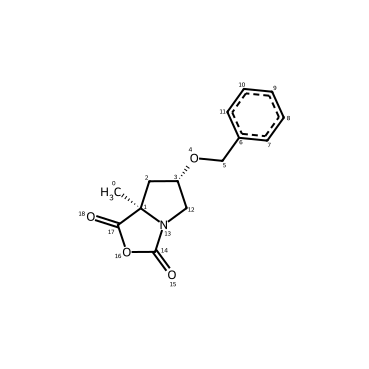 C[C@]12C[C@H](OCc3ccccc3)CN1C(=O)OC2=O